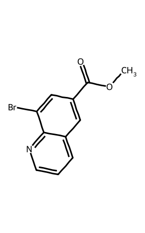 COC(=O)c1cc(Br)c2ncccc2c1